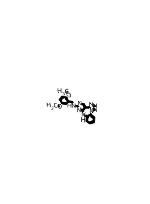 COc1ccc(OC)c(CNc2ncc3c(n2)Nc2ccccc2-n2nnnc2-3)c1